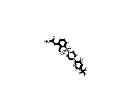 CCc1c(CC(=O)O)cccc1S(=O)(=O)N1CCN(c2ncc(C(F)(F)F)cc2Cl)CC1